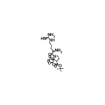 CC(C)(C)OC(=O)C1CCN(C(=O)[C@@H](N)CCCNC(=N)N)[C@@]1(C(=O)O)[N+](=O)[O-]